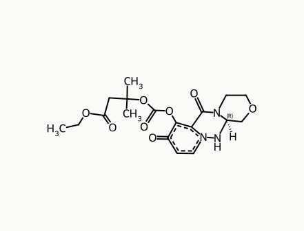 CCOC(=O)CC(C)(C)OC(=O)Oc1c2n(ccc1=O)N[C@@H]1COCCN1C2=O